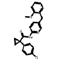 COc1ccccc1Cc1ccc(NC(=O)C2(c3ccc(Cl)cc3)CC2)nc1